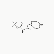 CC(C)(C)OC(=O)NC1CC2(CCNCC2)C1